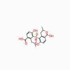 CC(C)Cc1c(C(=O)O)ccc(O)c1S(=O)(=O)c1c(O)ccc(C(=O)O)c1CC(C)C